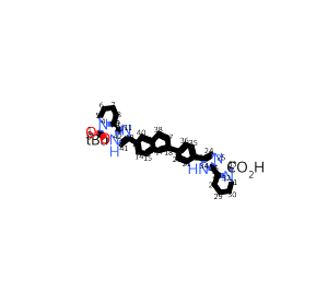 CC(C)(C)OC(=O)N1CCCC[C@H]1c1nc(-c2ccc3cc(-c4ccc(-c5cnc(C6CCCCN6C(=O)O)[nH]5)cc4)ccc3c2)c[nH]1